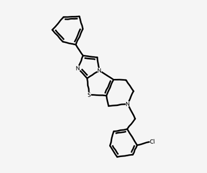 Clc1ccccc1CN1CCc2c(sc3nc(-c4ccccc4)cn23)C1